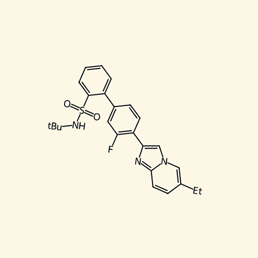 CCc1ccc2nc(-c3ccc(-c4ccccc4S(=O)(=O)NC(C)(C)C)cc3F)cn2c1